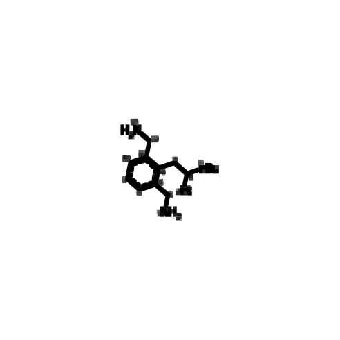 CCCCC(CC)Cc1c(CN)cccc1CN